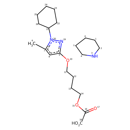 C1CCNCC1.Cc1cc(OCCCCOC(=O)C(=O)O)nn1C1CCCCC1